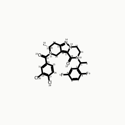 CC(c1cc(F)ccc1F)N1CCn2nc3c(c2C1=O)CN(C(=O)c1ccc(Cl)c(Cl)c1)[C@H](C)C3